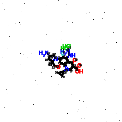 Cl.Cl.NNc1c(F)c2c(c3c1c(=O)c(C(=O)O)cn3C1CC1)OC[C@@H]1C[C@H](N)CN21